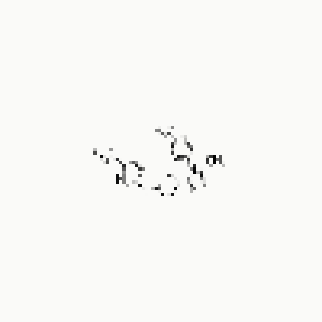 Cc1ccc(-n2c(C)nnc2C2CCC(Oc3ccc(C)nc3)CC2)cc1